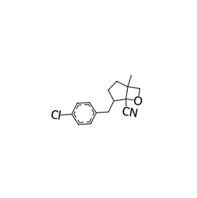 CC12CCC(Cc3ccc(Cl)cc3)C1(C#N)OC2